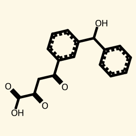 O=C(O)C(=O)CC(=O)c1cccc(C(O)c2ccccc2)c1